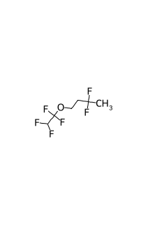 CC(F)(F)CCOC(F)(F)C(F)F